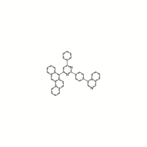 c1ccc(-c2cc(-c3c4ccccc4cc4c3ccc3ccccc34)nc(-c3ccc(-c4cncc5ccccc45)cc3)n2)cc1